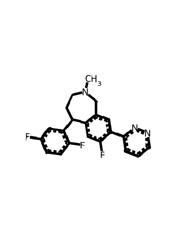 CN1CCC(c2cc(F)ccc2F)c2cc(F)c(-c3cccnn3)cc2C1